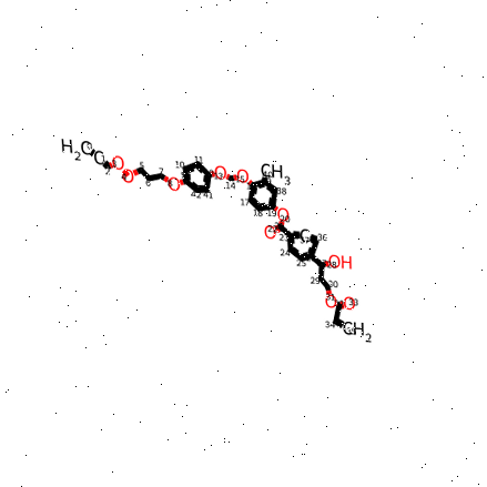 C=C=COOCCCOc1ccc(OCOc2ccc(OC(=O)c3ccc(C(O)CCOC(=O)C=C)cc3)cc2C)cc1